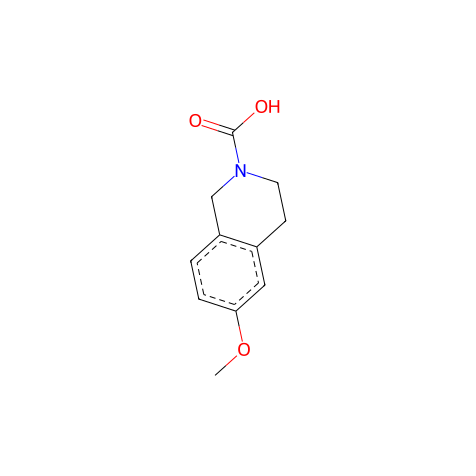 COc1ccc2c(c1)CCN(C(=O)O)C2